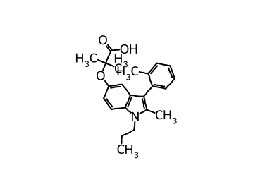 CCCn1c(C)c(-c2ccccc2C)c2cc(OC(C)(C)C(=O)O)ccc21